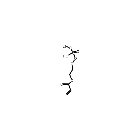 C=CC(=O)OCCOOP(=O)(O)OCC